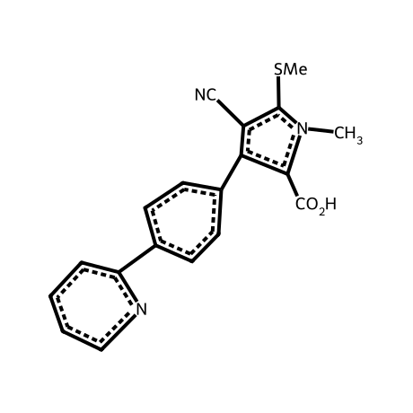 CSc1c(C#N)c(-c2ccc(-c3ccccn3)cc2)c(C(=O)O)n1C